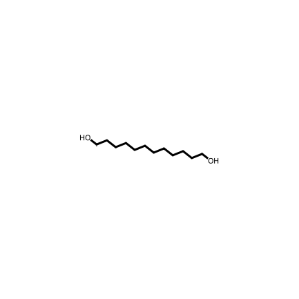 O[CH]CCCCCCCCCCCO